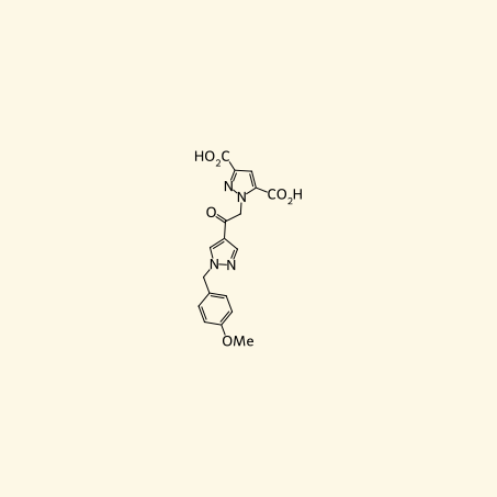 COc1ccc(Cn2cc(C(=O)Cn3nc(C(=O)O)cc3C(=O)O)cn2)cc1